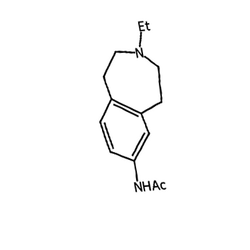 CCN1CCc2ccc(NC(C)=O)cc2CC1